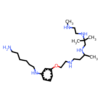 CNCCNC(C)(C)CNC(C)CCNCCOc1cccc(NCCCCCCN)c1